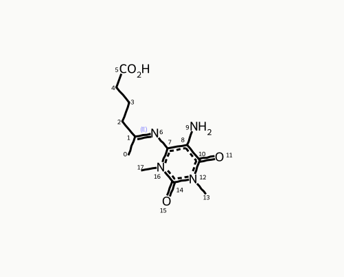 C/C(CCCC(=O)O)=N\c1c(N)c(=O)n(C)c(=O)n1C